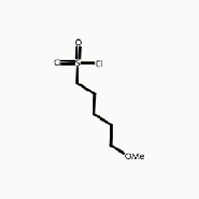 COCCCCCS(=O)(=O)Cl